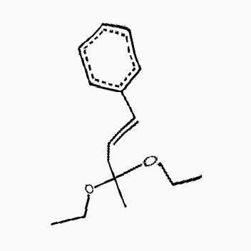 CCOC(C)(C=Cc1ccccc1)OCC